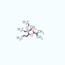 C=C(C)C(=O)OC(CCC)[Si](CC)(CC)OCC